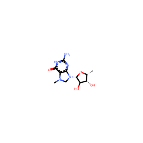 C[C@H]1O[C@@H](N2CN(C)c3c2nc(N)[nH]c3=O)C(O)[C@H]1O